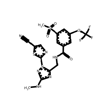 CNc1nc(CNC(=O)c2cc(OC(F)(F)F)cc(S(C)(=O)=O)c2)n(-c2ncc(C#N)s2)n1